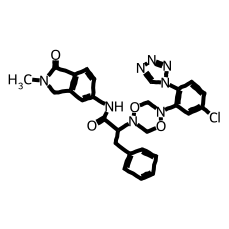 CN1Cc2cc(NC(=O)C(Cc3ccccc3)N3CON(c4cc(Cl)ccc4-n4cnnn4)CO3)ccc2C1=O